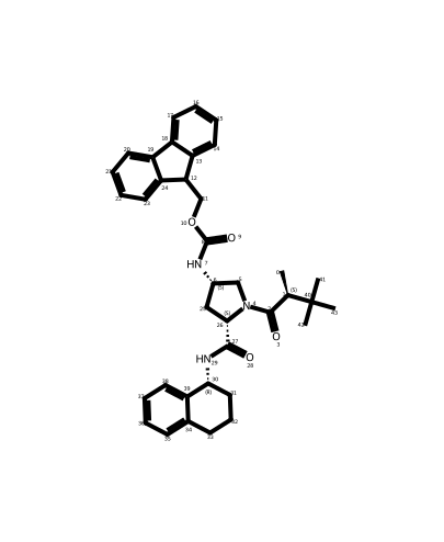 C[C@H](C(=O)N1C[C@@H](NC(=O)OCC2c3ccccc3-c3ccccc32)C[C@H]1C(=O)N[C@@H]1CCCc2ccccc21)C(C)(C)C